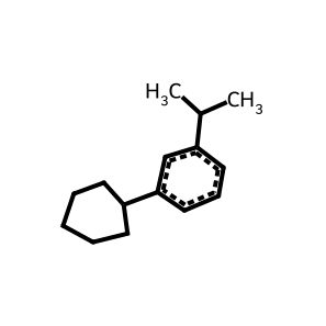 CC(C)c1cccc(C2CCCCC2)c1